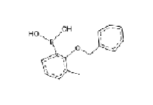 Cc1cccc(B(O)O)c1OCc1ccccc1